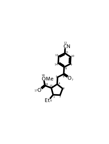 [CH2]CC1C[CH]C(CC(=O)c2ccc(C#N)cc2)C1C(=O)OC